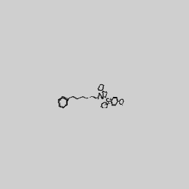 COc1ccc([S+]([O-])C2CC(=O)N2CCCCCCc2ccccc2)cc1